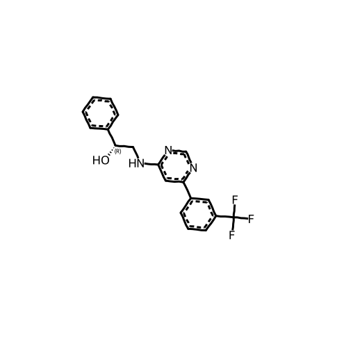 O[C@@H](CNc1cc(-c2cccc(C(F)(F)F)c2)ncn1)c1ccccc1